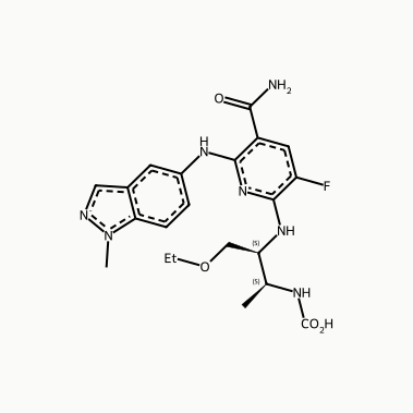 CCOC[C@@H](Nc1nc(Nc2ccc3c(cnn3C)c2)c(C(N)=O)cc1F)[C@H](C)NC(=O)O